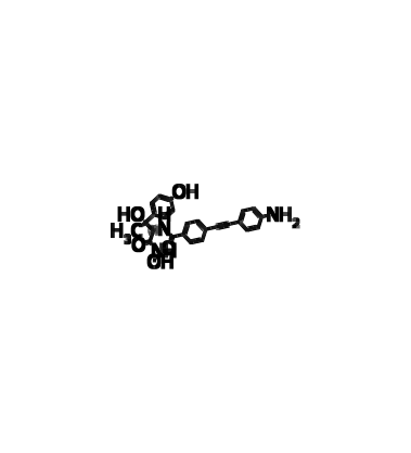 CC(O)(c1ccc(O)cc1)[C@H](NC(=O)c1ccc(C#Cc2ccc(N)cc2)cc1)C(=O)NO